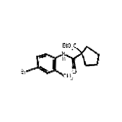 CCOC(=O)C1(C(=O)Nc2ccc(Br)cc2C)CCCC1